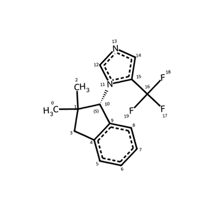 CC1(C)Cc2ccccc2[C@H]1n1cncc1C(F)(F)F